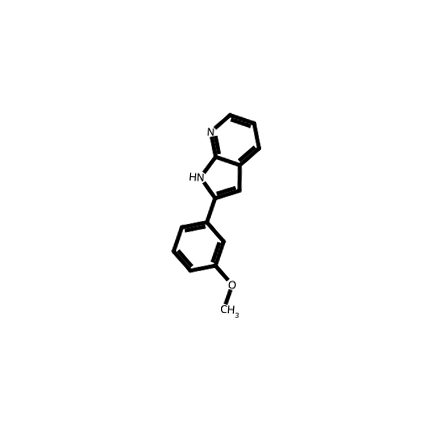 COc1cccc(-c2cc3cccnc3[nH]2)c1